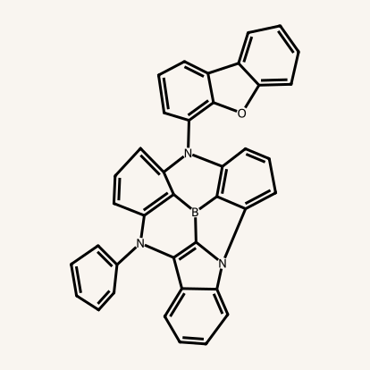 c1ccc(N2c3cccc4c3B3c5c(cccc5-n5c3c2c2ccccc25)N4c2cccc3c2oc2ccccc23)cc1